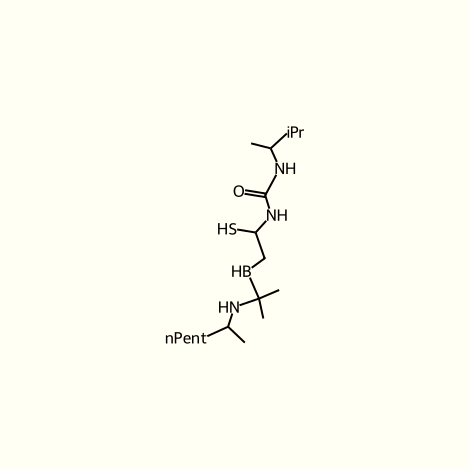 CCCCCC(C)NC(C)(C)BCC(S)NC(=O)NC(C)C(C)C